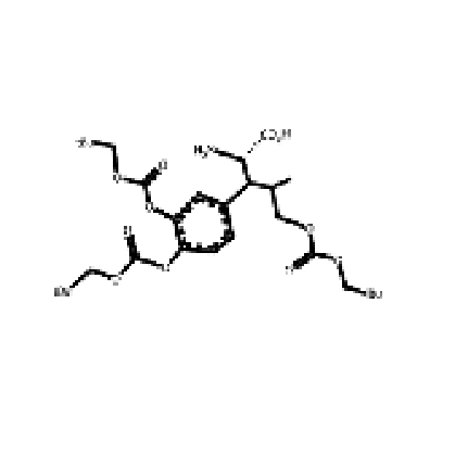 CCC(C)COC(=O)OCC(C)C(c1ccc(OC(=O)OCC(C)(C)C)c(OC(=O)OCC(C)(C)C)c1)[C@H](N)C(=O)O